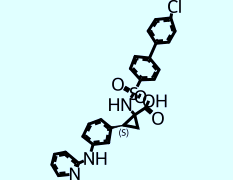 O=C(O)C1(NS(=O)(=O)c2ccc(-c3ccc(Cl)cc3)cc2)C[C@H]1c1cccc(Nc2ccccn2)c1